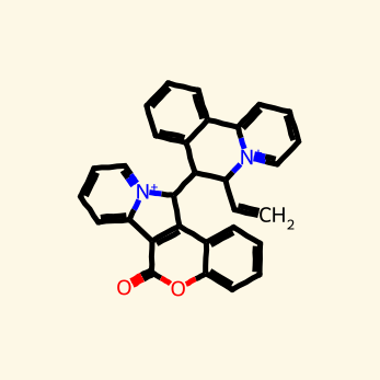 C=CC1C(C2c3c(c(=O)oc4ccccc34)-c3cccc[n+]32)c2ccccc2-c2cccc[n+]21